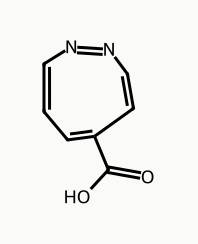 O=C(O)C1=CC=CN=NC=C1